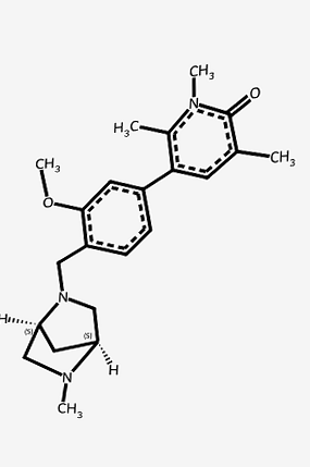 COc1cc(-c2cc(C)c(=O)n(C)c2C)ccc1CN1C[C@@H]2C[C@H]1CN2C